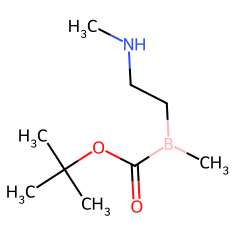 CNCCB(C)C(=O)OC(C)(C)C